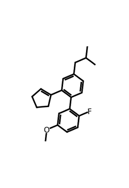 COc1ccc(F)c(-c2ccc(CC(C)C)cc2C2=CCCC2)c1